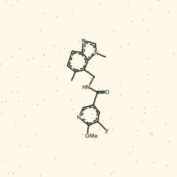 COc1ncc(C(=O)NCc2c(C)ccc3ncn(C)c23)cc1F